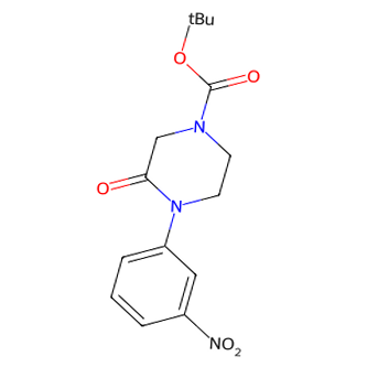 CC(C)(C)OC(=O)N1CCN(c2cccc([N+](=O)[O-])c2)C(=O)C1